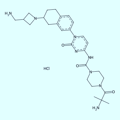 CC(C)(N)C(=O)N1CCN(C(=O)Nc2ccn(-c3ccc4c(c3)CC(N3CC(CN)C3)CC4)c(=O)n2)CC1.Cl